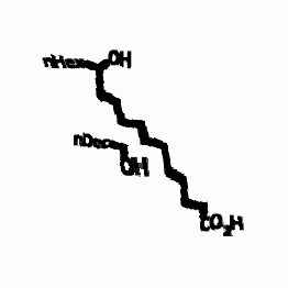 CCCCCCC(O)CCCCCCCCCCC(=O)O.CCCCCCCCCCCO